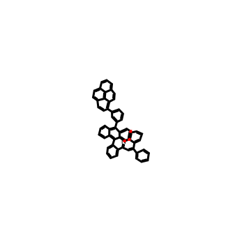 c1ccc(-c2cc(-c3ccccc3-c3c4ccccc4c(-c4cccc(-c5ccc6ccc7cccc8ccc5c6c78)c4)c4ccccc34)nc3ccccc23)cc1